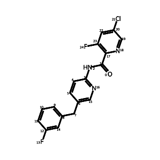 O=C(Nc1ccc(Cc2cccc(F)c2)cn1)c1ncc(Cl)cc1F